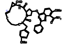 COc1ccc(CN2CCCCC/C=C/C3CC3([C]=O)NC(=O)C3CC(Oc4nc(-c5ccccc5)nc5c(C(N)=O)c(OC)ccc45)CN3C2=O)cc1